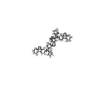 c1csc(N(c2ccc3c(c2)oc2ccccc23)c2ccc3c(c2)oc2cc(N(c4ccc5c(c4)oc4ccccc45)c4cccs4)nnc23)c1